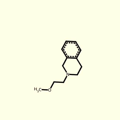 COCCN1CCc2c[c]ccc2C1